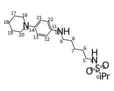 CC(C)S(=O)(=O)NCCCCCNc1ccc(N2CCCCC2)cc1